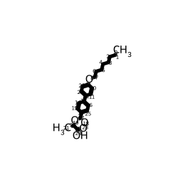 CCCCCCCCOc1ccc(-c2ccc(C(=O)OC(C)C(=O)O)cc2)cc1